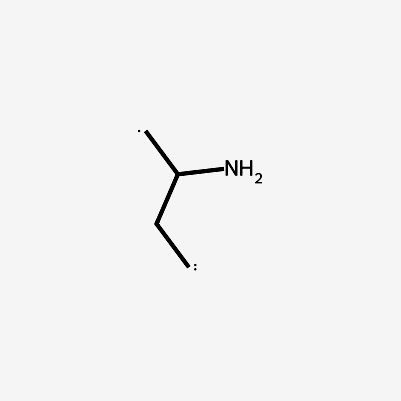 [CH]CC([CH2])N